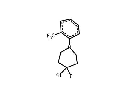 [2H]C1(F)CCN(c2ccccc2C(F)(F)F)CC1